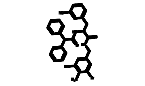 N#Cc1cccc(CC(NC(=O)C(c2ccccc2)c2ccccc2)C(=O)NCc2cc(Br)c(N)c(Br)c2)c1